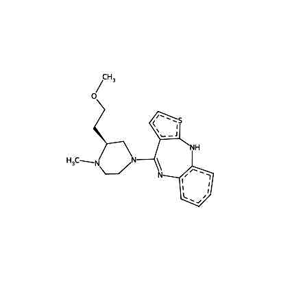 COCC[C@H]1CN(C2=Nc3ccccc3Nc3sccc32)CCN1C